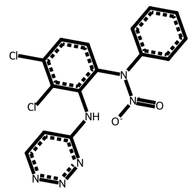 O=[N+]([O-])N(c1ccccc1)c1ccc(Cl)c(Cl)c1Nc1ccnnn1